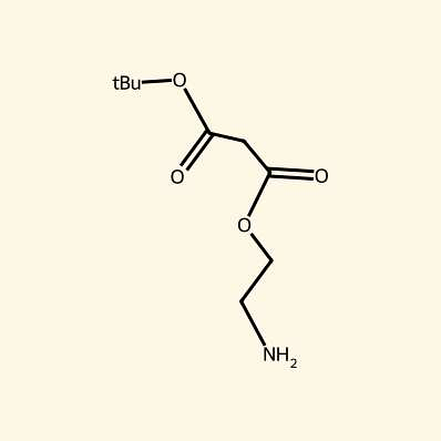 CC(C)(C)OC(=O)CC(=O)OCCN